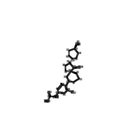 O=C(O)Nc1cnc(N2CCC[C@]3(CCN([C@H]4CC[C@H](O)CC4)C3=O)C2)c(Cl)c1